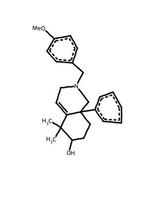 COc1ccc(CN2CC=C3C(c4ccccc4)(CCC(O)C3(C)C)C2)cc1